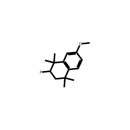 COc1ccc2c(c1)C(C)(C)C(F)CC2(C)C